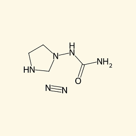 N#N.NC(=O)NN1CCNC1